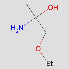 CCOCC(C)(N)O